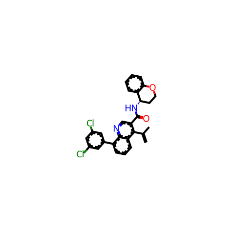 C=C(C)c1c(C(=O)N[C@H]2CCOc3ccccc32)cnc2c(-c3cc(Cl)cc(Cl)c3)cccc12